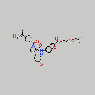 COC1CCC([C@@H]2CCN(C(=O)[C@H]3CC[C@H]([C@H](N)CF)CC3)[C@@H]2C(=O)Nc2ccc3oc(C(=O)OCCCOCC(C)C)cc3c2)CC1